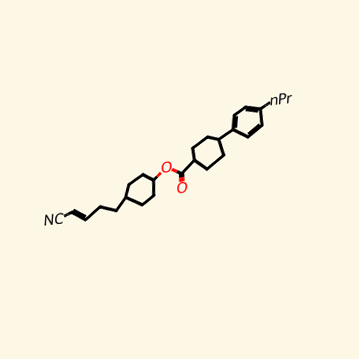 CCCc1ccc(C2CCC(C(=O)OC3CCC(CC/C=C/C#N)CC3)CC2)cc1